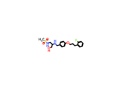 CS(=O)(=O)NCC(CO)NCc1ccc(OCCCc2ccccc2F)cc1